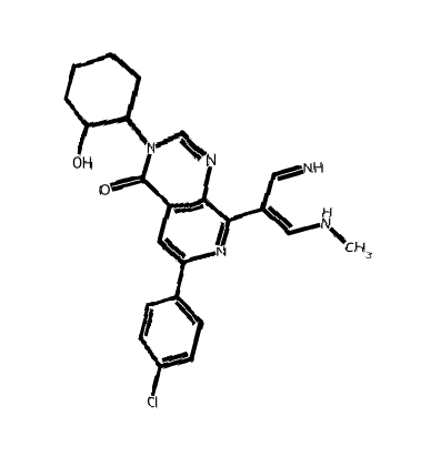 CN/C=C(\C=N)c1nc(-c2ccc(Cl)cc2)cc2c(=O)n(C3CCCCC3O)cnc12